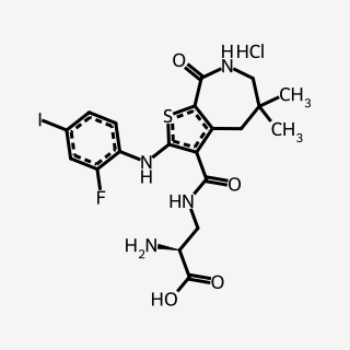 CC1(C)CNC(=O)c2sc(Nc3ccc(I)cc3F)c(C(=O)NC[C@H](N)C(=O)O)c2C1.Cl